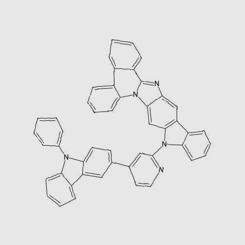 c1ccc(-n2c3ccccc3c3cc(-c4ccnc(-n5c6ccccc6c6cc7nc8c9ccccc9c9ccccc9n8c7cc65)c4)ccc32)cc1